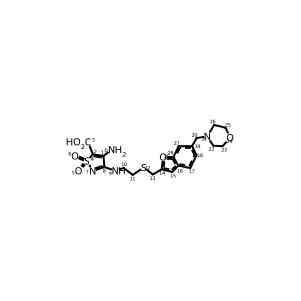 NC1=C(C(=O)O)S(=O)(=O)N=C1NCCSCc1cc2ccc(CN3CCOCC3)cc2o1